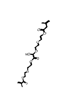 C=C(C)CC(=O)OCCOCCOC(O)C(=O)OCCOCCOC(=O)C(=C)C